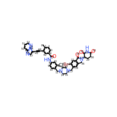 Cc1ccc(C(=O)Nc2ccc(CN3CCN(Cc4cc5c(cc4Br)C(=O)N(C4CCC(=O)NC4=O)C5)CC3)c(C(F)(F)F)c2)cc1C#Cc1cnc2cccnn12